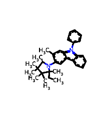 CCC1(C)N(c2cc3c4ccccc4n(-c4ccccc4)c3cc2C)[C@@H](C)C(C)(C)C1(C)C